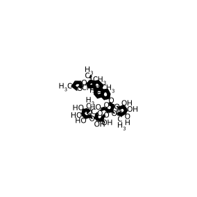 CC[C@H]1[C@@H](O[C@@]2(C)CC[C@@H](C)CO2)C[C@H]2[C@@H]3CC=C4C[C@@H](O[C@@H]5OC(CO)[C@@H](O[C@@H]6OC(C)[C@H](O[C@@H]7OC(C)[C@H](O)C(O)[C@@H]7O)C(O)[C@@H]6O)[C@H](O)C5O[C@@H]5OC(C)[C@H](O)C(O)[C@@H]5O)CC[C@]4(C)[C@H]3CC[C@@]21C